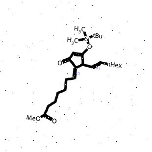 CCCCCC/C=C/C1C(O[Si](C)(C)C(C)(C)C)=CC(=O)/C1=C\CCCCCC(=O)OC